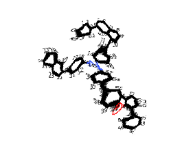 c1ccc(-c2ccc3cccc(-c4ccc(N(c5ccc(-c6ccc7ccccc7c6)cc5)c5ccc(-c6ccc7oc8c(-c9ccccc9)cccc8c7c6)cc5)cc4)c3c2)cc1